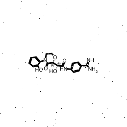 N=C(N)c1ccc(NC(=O)[C@H](O)[C@H]2OCCN(c3ccccc3O)C2=O)cc1